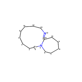 C1CCCCN2CCCCCC2=NCCC1